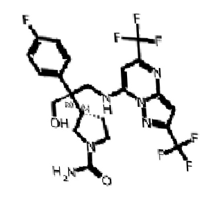 NC(=O)N1CC[C@@H]([C@@](CO)(CNc2cc(C(F)(F)F)nc3cc(C(F)(F)F)nn23)c2ccc(F)cc2)C1